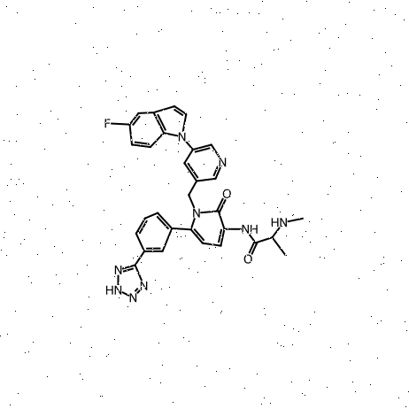 CNC(C)C(=O)Nc1ccc(-c2cccc(-c3nn[nH]n3)c2)n(Cc2cncc(-n3ccc4cc(F)ccc43)c2)c1=O